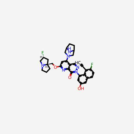 C#Cc1c(F)ccc2cc(O)cc(-n3ncc4c(N5CC6CCC(C5)N6)cc(OC[C@@]56CCCN5C[C@H](F)C6)nc4c3=O)c12